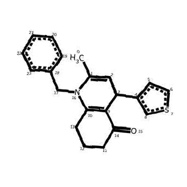 CC1=CC(c2ccsc2)C2=C(CCCC2=O)N1Cc1ccccc1